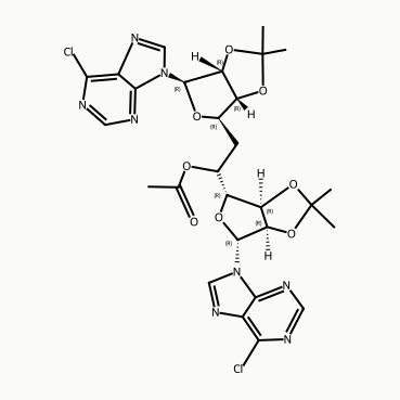 CC(=O)OC(C[C@H]1O[C@@H](n2cnc3c(Cl)ncnc32)[C@@H]2OC(C)(C)O[C@@H]21)[C@H]1O[C@@H](n2cnc3c(Cl)ncnc32)[C@@H]2OC(C)(C)O[C@@H]21